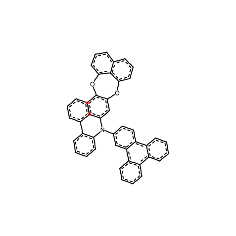 c1ccc(-c2ccccc2N(c2ccc3c(c2)Oc2cccc4cccc(c24)O3)c2ccc3c4ccccc4c4ccccc4c3c2)cc1